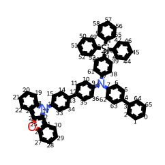 c1ccc(-c2ccc(N(c3ccc(-c4ccc(-n5c6ccccc6c6oc7ccccc7c65)cc4)cc3)c3ccc([Si](c4ccccc4)(c4ccccc4)c4ccccc4)cc3)cc2)cc1